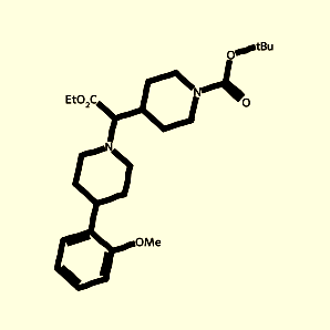 CCOC(=O)C(C1CCN(C(=O)OC(C)(C)C)CC1)N1CCC(c2ccccc2OC)CC1